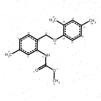 COC(=O)Nc1cc(C)ccc1COc1ccc(C)cc1C